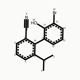 CC(C)c1cccc(C#N)c1-c1cccc(Br)c1O